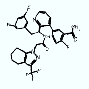 NC(=O)c1cc(-c2cccnc2[C@H](Cc2cc(F)cc(F)c2)NC(=O)Cn2nc(C(F)(F)F)c3c2CCCC3)ccc1F